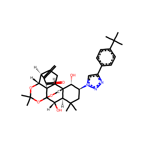 C=C1C(=O)[C@@]23[C@@H]4OC(C)(C)OC25OC[C@]2([C@H](O)[C@@H](n6cc(-c7ccc(C(C)(C)C)cc7)nn6)CC(C)(C)[C@H]2[C@@H]5O)[C@@H]3CC[C@@H]14